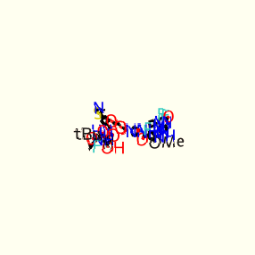 COc1cc(C(=O)NC2CCN(CCOCCOc3cc(-c4scnc4C)ccc3CNC(=O)[C@@H]3C[C@@H](O)CN3C(=O)[C@@H](NC(=O)C3(F)CC3)C(C)(C)C)CC2)c(F)cc1Nc1ncc2c(n1)N(C1CCCC1)CC(F)(F)C(=O)N2C